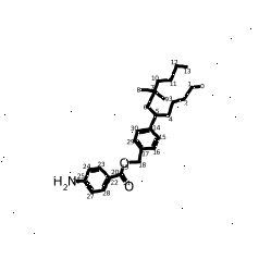 CCCCCC(CC(C)(C)CCCC)c1ccc(COC(=O)c2ccc(N)cc2)cc1